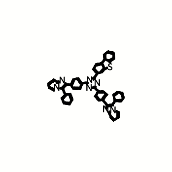 c1ccc(-c2c(-c3ccc(-c4nc(-c5ccc(-c6nc7ccccn7c6-c6ccccc6)cc5)nc(-c5ccc6c(c5)sc5ccccc56)n4)cc3)nc3ccccn23)cc1